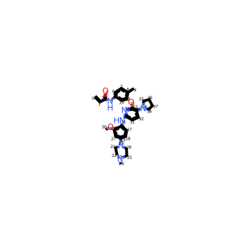 C=CC(=O)Nc1ccc(C)c(Oc2nc(Nc3ccc(N4CCN(C)CC4)cc3OC)ccc2N2CCCC2)c1